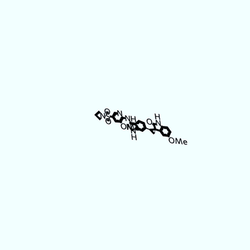 COc1ccc2c(c1)[C@]1(C[C@H]1c1ccc3c(Nc4ncc(S(=O)(=O)N5CCC5)cc4OC)n[nH]c3c1)C(=O)N2